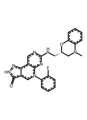 CN1C[C@H](CNc2ncc3c4n[nH]c(=O)c-4cn(-c4ccccc4F)c3n2)Oc2ccccc21